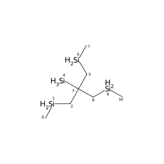 C[SiH2]CC([SiH3])(C[SiH2]C)C[SiH2]C